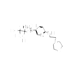 CC(C)(O)C(C)(C)OB(O)c1ccc(NCCN2CCOCC2)nc1